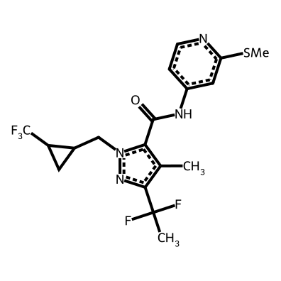 CSc1cc(NC(=O)c2c(C)c(C(C)(F)F)nn2CC2CC2C(F)(F)F)ccn1